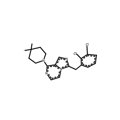 [CH2]C1(C)CCN(c2nccn3c(Cc4cccc(Cl)c4Cl)ncc23)CC1